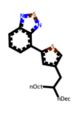 CCCCCCCCCCC(CCCCCCCC)Cc1csc(-c2cccc3nsnc23)c1